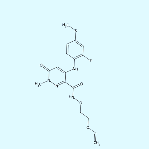 C=COCCONC(=O)c1nn(C)c(=O)cc1Nc1ccc(SC)cc1F